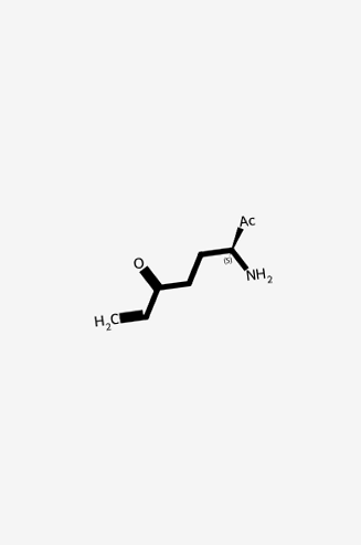 C=CC(=O)CC[C@H](N)C(C)=O